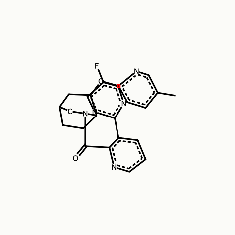 Cc1ccc(OC2CC3CCC2N(C(=O)c2ncccc2-c2ncc(F)cn2)C3)nc1